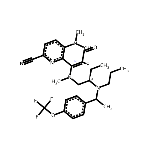 CCCN(C(C)c1ccc(OC(F)(F)F)cc1)[C@H](CC)CN(C)/C(=C(\F)C=O)c1nc(C#N)ccc1N(C)O